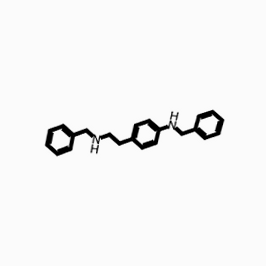 c1ccc(CNCCc2ccc(NCc3ccccc3)cc2)cc1